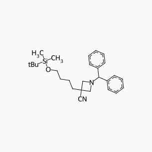 CC(C)(C)[Si](C)(C)OCCCCC1(C#N)CN(C(c2ccccc2)c2ccccc2)C1